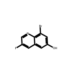 Oc1cc(Br)c2ncc(F)cc2c1